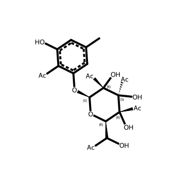 CC(=O)c1c(O)cc(C)cc1O[C@@H]1O[C@H](C(O)C(C)=O)[C@](O)(C(C)=O)[C@@](O)(C(C)=O)[C@]1(O)C(C)=O